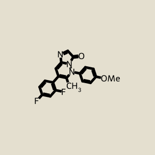 COc1ccc(-n2c(C)c(-c3ccc(F)cc3F)cc3ncc(=O)n2-3)cc1